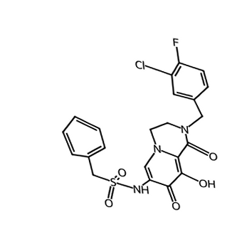 O=C1c2c(O)c(=O)c(NS(=O)(=O)Cc3ccccc3)cn2CCN1Cc1ccc(F)c(Cl)c1